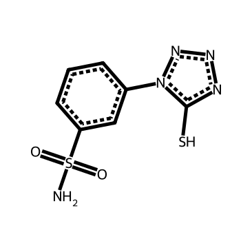 NS(=O)(=O)c1cccc(-n2nnnc2S)c1